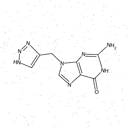 Nc1nc2c(ncn2Cc2c[nH]nn2)c(=O)[nH]1